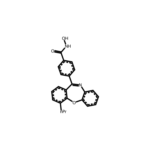 CCCc1cccc2c1Oc1ccccc1N=C2c1ccc(C(=O)NO)cc1